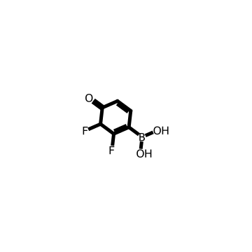 O=C1C=CC(B(O)O)=C(F)C1F